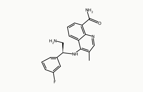 Cc1cnc2c(C(N)=O)cccc2c1N[C@H](CN)c1cccc(F)c1